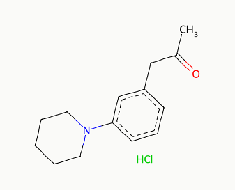 CC(=O)Cc1cccc(N2CCCCC2)c1.Cl